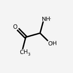 CC(=O)C([NH])O